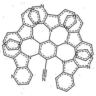 N#Cc1c(-n2c3ccccc3c3ncccc32)c(-n2c3ccccc3c3ccccc32)c(-n2c3ccccc3c3ncccc32)c(-n2c3ccccc3c3ccccc32)c1-n1c2ccccc2c2ncccc21